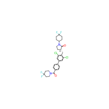 O=C(c1ccc(-c2cc(Cl)c(C[C@@H]3CCN(C4CCC(F)(F)CC4)C3=O)c(Cl)c2)cc1)N1CCC(F)(F)CC1